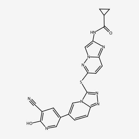 N#Cc1cc(-c2ccc3nnc(Sc4ccc5nc(NC(=O)C6CC6)cn5n4)n3c2)cnc1O